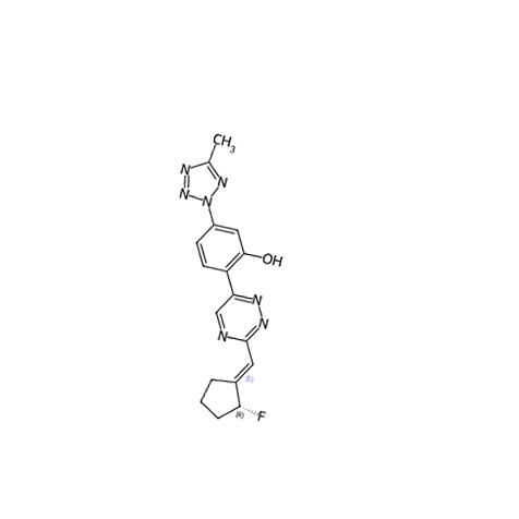 Cc1nnn(-c2ccc(-c3cnc(/C=C4\CCC[C@H]4F)nn3)c(O)c2)n1